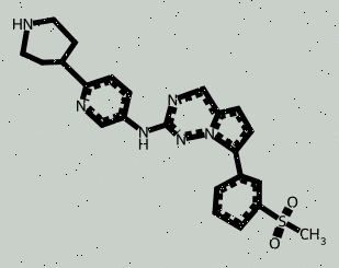 CS(=O)(=O)c1cccc(-c2ccc3cnc(Nc4ccc(C5CCNCC5)nc4)nn23)c1